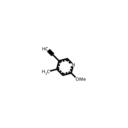 C#Cc1cnc(OC)cc1C